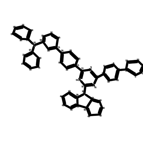 c1ccc(-c2ccc(-c3nc(-c4ccc(-c5cccc(N(c6ccccc6)c6ccccc6)c5)cc4)nc(-n4c5ccccc5c5ccccc54)n3)cc2)cc1